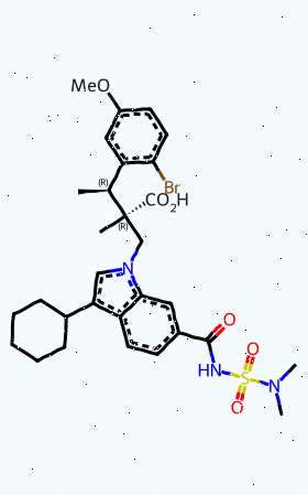 COc1ccc(Br)c([C@H](C)[C@](C)(Cn2cc(C3CCCCC3)c3ccc(C(=O)NS(=O)(=O)N(C)C)cc32)C(=O)O)c1